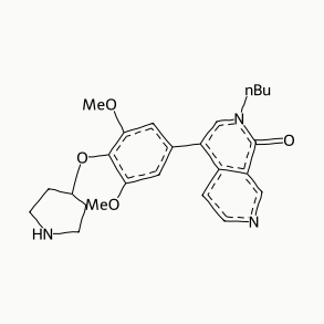 CCCCn1cc(-c2cc(OC)c(OC3CCNCC3)c(OC)c2)c2ccncc2c1=O